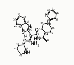 C=C(NC(=O)/C(=C(\N)N[C@@H]1CCCNC1)c1nc2ccccc2s1)C1CCN(c2ccccn2)CC1